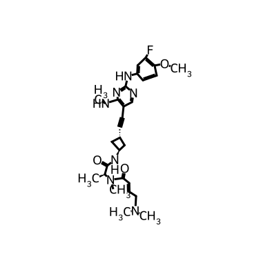 CNc1nc(Nc2ccc(OC)c(F)c2)ncc1C#C[C@H]1C[C@H](NC(=O)[C@H](C)N(C)C(=O)/C=C/CN(C)C)C1